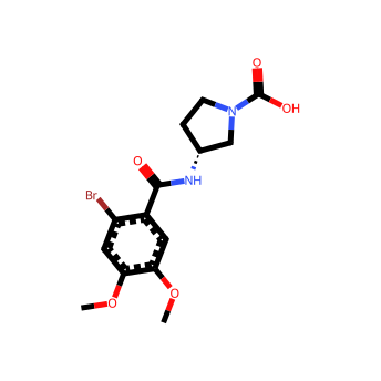 COc1cc(Br)c(C(=O)N[C@@H]2CCN(C(=O)O)C2)cc1OC